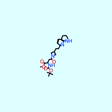 COC(=O)C(CC(=O)N1CC(CCc2ccc3c(n2)NCCC3)C1)NC(=O)OC(C)(C)C